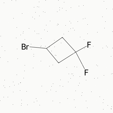 FC1(F)CC(Br)C1